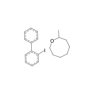 CC1CCCCCCO1.Ic1ccccc1-c1ccccc1